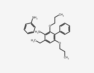 CCCOc1cc(CC)c([SiH3])c(OCCC)c1-c1ccccc1.[SiH3]c1ccccc1